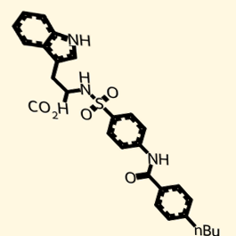 CCCCc1ccc(C(=O)Nc2ccc(S(=O)(=O)NC(Cc3c[nH]c4ccccc34)C(=O)O)cc2)cc1